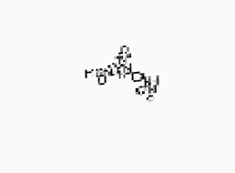 CC1COCCN1c1nc(-c2ccc(NC(=O)NC3CCC3)cc2)nc2c1CCN(C(=O)O)C2